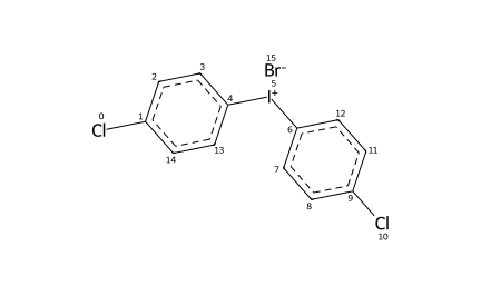 Clc1ccc([I+]c2ccc(Cl)cc2)cc1.[Br-]